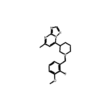 COc1cccc(CN2CCCC(c3cc(C)nc4ncnn34)C2)c1F